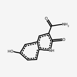 NC(=O)c1cc2cc(O)ccc2[nH]c1=O